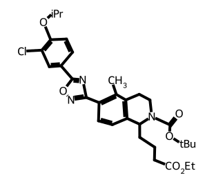 CCOC(=O)CCCC1c2ccc(-c3noc(-c4ccc(OC(C)C)c(Cl)c4)n3)c(C)c2CCN1C(=O)OC(C)(C)C